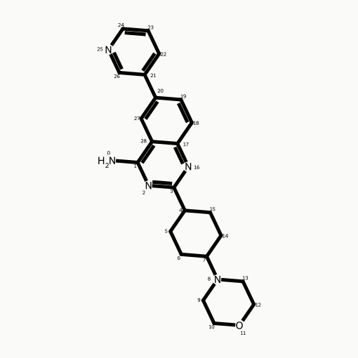 Nc1nc(C2CCC(N3CCOCC3)CC2)nc2ccc(-c3cccnc3)cc12